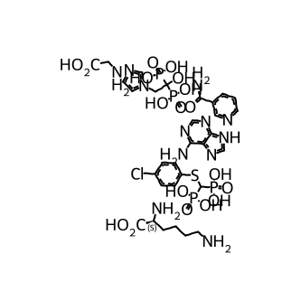 NC(=O)c1cccnc1.NCC(=O)O.NCCCC[C@H](N)C(=O)O.Nc1ncnc2[nH]cnc12.O=P(O)(O)C(O)(Cn1ccnc1)P(=O)(O)O.O=P(O)(O)C(Sc1ccc(Cl)cc1)P(=O)(O)O